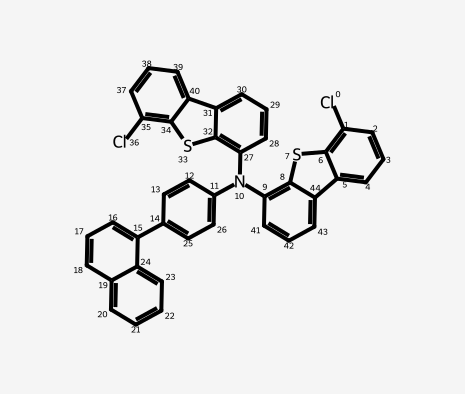 Clc1cccc2c1sc1c(N(c3ccc(-c4cccc5ccccc45)cc3)c3cccc4c3sc3c(Cl)cccc34)cccc12